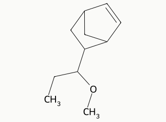 CCC(OC)C1CC2C=CC1C2